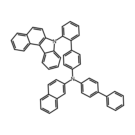 c1ccc(-c2ccc(N(c3ccc(-c4ccccc4-n4c5ccccc5c5c6ccccc6ccc54)cc3)c3ccc4ccccc4c3)cc2)cc1